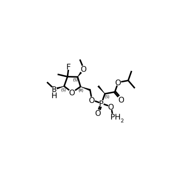 CB[C@@H]1O[C@H](COP(=O)(OP)[C@@H](C)C(=O)OC(C)C)[C@H](OC)C1(C)F